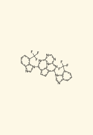 FC(F)(F)c1cccc2ncn(-c3nc4ncnc5nc(-n6cnc7cccc(C(F)(F)F)c76)c6ccc3c6n45)c12